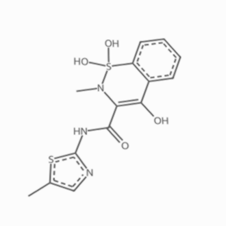 Cc1cnc(NC(=O)C2=C(O)c3ccccc3S(O)(O)N2C)s1